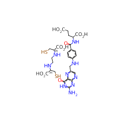 Nc1nc2ncc(CNc3ccc(C(=O)NC(CCC(=O)O)C(=O)O)cc3)nc2c(=O)[nH]1.O=C(O)[C@H](CS)NCCN[C@@H](CS)C(=O)O